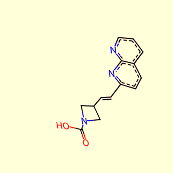 O=C(O)N1CC(C=Cc2ccc3cccnc3n2)C1